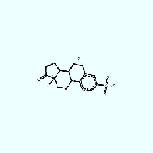 C[C@]12CCC3c4ccc(S(=O)(=O)[O-])cc4CCC3C1CCC2=O.[K+]